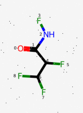 O=C(NF)C(F)C(F)F